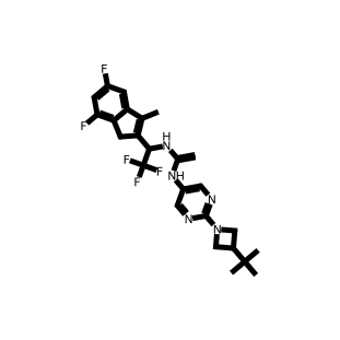 C=C(Nc1cnc(N2CC(C(C)(C)C)C2)nc1)NC(C1=C(C)c2cc(F)cc(F)c2C1)C(F)(F)F